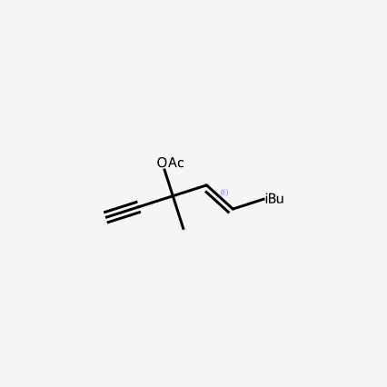 C#CC(C)(/C=C/C(C)CC)OC(C)=O